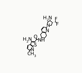 Cc1ccc2c(N)c(C(=O)N[C@H]3CCc4nc(N5C[C@@H](N)[C@H](C(F)F)C5)ccc4C3)sc2n1